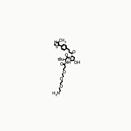 Cc1ncsc1-c1ccc(CCC(=O)[C@@H]2C[C@@H](O)CN2C(=O)[C@@H](NC(=O)CCOCCOCCOCCN)C(C)(C)C)cc1